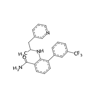 CC(Cc1cccnc1)Nc1c(C(N)=O)cccc1-c1cccc(C(F)(F)F)c1